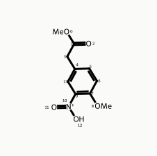 COC(=O)Cc1ccc(OC)c([N+](=O)O)c1